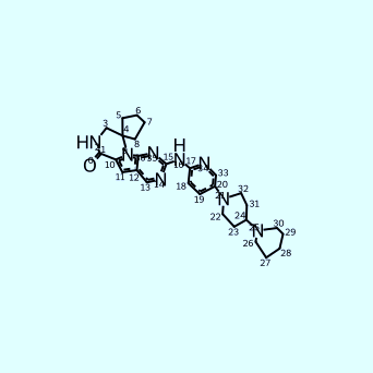 O=C1NCC2(CCCC2)n2c1cc1cnc(Nc3ccc(N4CCC(N5CCCCC5)CC4)cn3)nc12